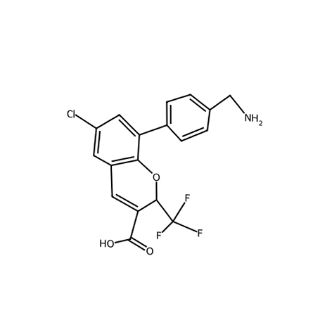 NCc1ccc(-c2cc(Cl)cc3c2OC(C(F)(F)F)C(C(=O)O)=C3)cc1